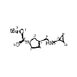 CC(C)(C)OC(=O)N1CC[C@H](CNC2CC2)C1